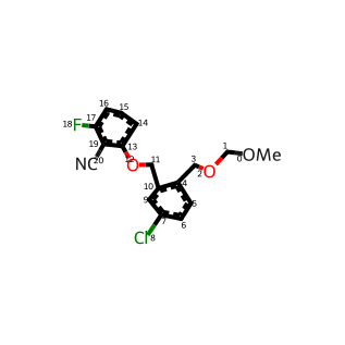 COCOCc1ccc(Cl)cc1COc1cccc(F)c1C#N